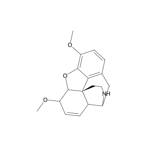 COc1ccc2c3c1OC1C(OC)C=CC4C(C2)NCC[C@@]341